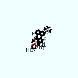 CC(C)[Si](C#Cc1c(F)ccc2cc(O[Si](C(C)C)(C(C)C)C(C)C)cc(-c3c(Cl)cc4c(N5CCC[C@@](C)(O)C5)nc(F)nc4c3F)c12)(C(C)C)C(C)C